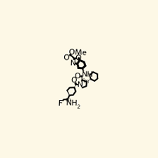 COC(=O)c1nc2cc(NC(=O)[C@@H]3[C@H](C4CCCCC4)CCN3C(=O)[C@H]3CC[C@H]([C@H](N)CF)CC3)ccc2o1